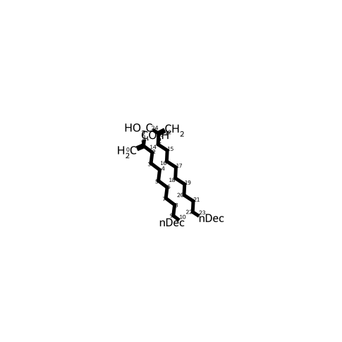 C=C(CCCCCCCCCCCCCCCCCC)C(=O)O.C=C(CCCCCCCCCCCCCCCCCCC)C(=O)O